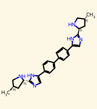 C[C@H]1CN[C@H](c2ncc(-c3ccc(-c4ccc(-c5cnc([C@@H]6C[C@@H](C)CN6)[nH]5)cc4)cc3)[nH]2)C1